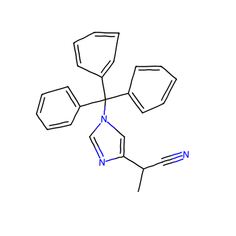 CC(C#N)c1cn(C(c2ccccc2)(c2ccccc2)c2ccccc2)cn1